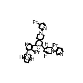 CC(C)c1ccnc(N2CCC3(CC2)CC(c2cncc(N4C[C@H]5CC[C@@H](C4)O5)c2C(C)C)OC(C2C[C@H]4CN(c5cnccc5C(C)C)C[C@@H]2O4)C3)c1